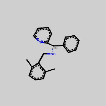 Cc1cccc(C)c1CN[C@@H](c1ccccc1)c1ccccn1